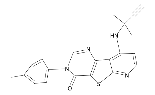 C#CC(C)(C)Nc1ccnc2sc3c(=O)n(-c4ccc(C)cc4)cnc3c12